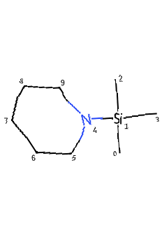 C[Si](C)(C)N1CCCCC1